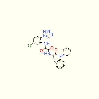 O=C(Nc1cc(Cl)ccc1-n1cnnn1)C(=O)NC(Cc1ccccc1)C(=O)Nc1ccccc1